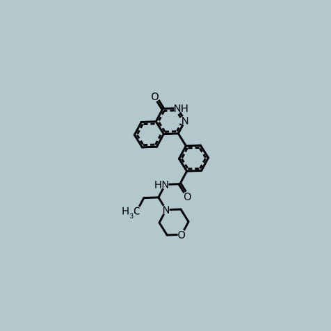 CCC(NC(=O)c1cccc(-c2n[nH]c(=O)c3ccccc23)c1)N1CCOCC1